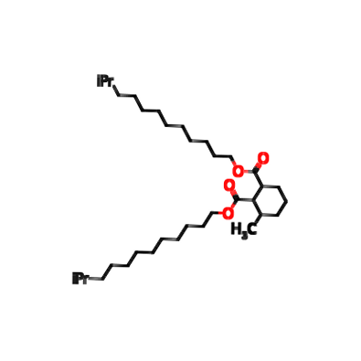 CC(C)CCCCCCCCCCOC(=O)C1CCCC(C)C1C(=O)OCCCCCCCCCCC(C)C